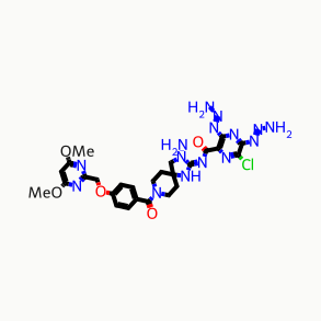 COc1cc(OC)nc(COc2ccc(C(=O)N3CCC4(CC3)CN(N)/C(=N\C(=O)c3nc(Cl)c(N=NN)nc3N=NN)N4)cc2)n1